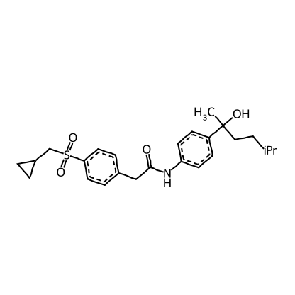 CC(C)CCC(C)(O)c1ccc(NC(=O)Cc2ccc(S(=O)(=O)CC3CC3)cc2)cc1